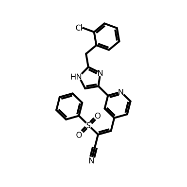 N#CC(=Cc1ccnc(-c2c[nH]c(Cc3ccccc3Cl)n2)c1)S(=O)(=O)c1ccccc1